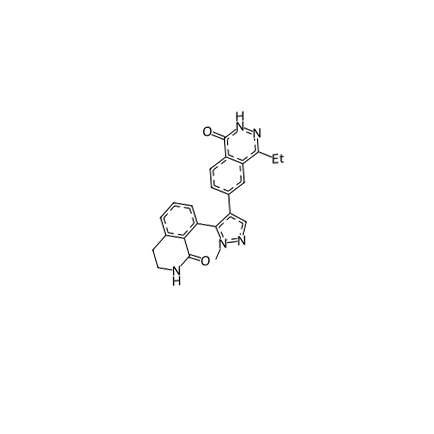 CCc1n[nH]c(=O)c2ccc(-c3cnn(C)c3-c3cccc4c3C(=O)NCC4)cc12